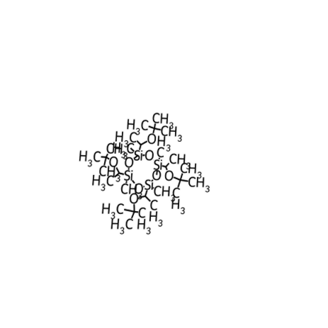 CC(OC(C)(C)C)[Si]1(C)O[Si](C)(C(C)OC(C)(C)C)O[Si](C)(C(C)OC(C)(C)C)O[Si](C)(C(C)OC(C)(C)C)O1